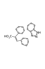 O=C(O)C(=Cc1ccccc1)c1ccccc1.c1ccc2[nH]nnc2c1